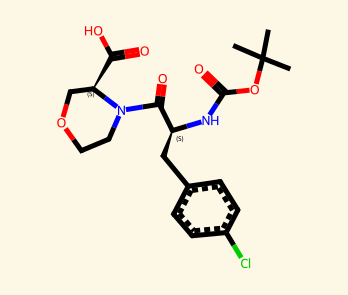 CC(C)(C)OC(=O)N[C@@H](Cc1ccc(Cl)cc1)C(=O)N1CCOC[C@H]1C(=O)O